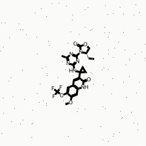 CC[C@H]1COC(=O)N1c1nc(C)nc(NC2(c3cc4cc(OC(F)(F)F)c(OC)cc4[nH]c3=O)CC2)n1